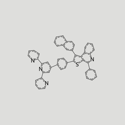 c1ccc(-c2nc3ccccc3c3c(-c4ccc5ccccc5c4)c(-c4ccc(-c5cc(-c6ccccn6)nc(-c6ccccn6)c5)cc4)sc23)cc1